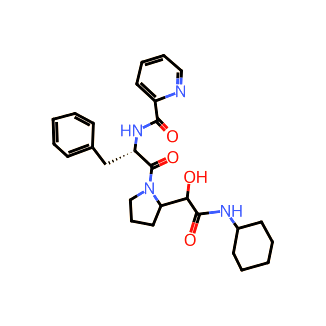 O=C(N[C@@H](Cc1ccccc1)C(=O)N1CCCC1C(O)C(=O)NC1CCCCC1)c1ccccn1